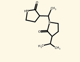 CC(C)C1CCN(C(C)C2CCNC2=O)C1=O